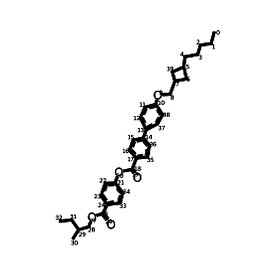 CCCCCC1CC(COc2ccc(-c3ccc(C(=O)Oc4ccc(C(=O)OCC(C)CC)cc4)cc3)cc2)C1